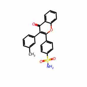 Cc1cccc(-c2c(-c3ccc(S(N)(=O)=O)cc3)oc3ccccc3c2=O)c1